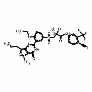 CCCc1nn(C)c2c(=O)[nH]c(-c3cc(S(=O)(=O)C[C@](C)(O)C(=O)Nc4ccc(C#N)c(C(F)(F)F)c4)ccc3OCC)nc12